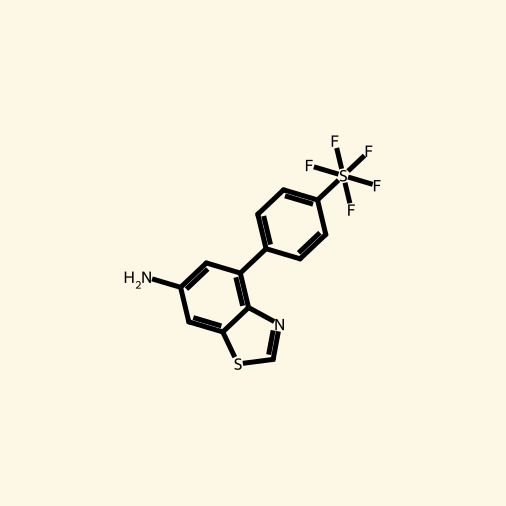 Nc1cc(-c2ccc(S(F)(F)(F)(F)F)cc2)c2ncsc2c1